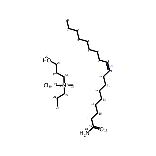 CCCCCCCC/C=C\CCCCCCCC(N)=O.CCC[N+](C)(C)CCCO.[Cl-]